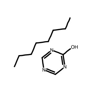 CCCCCCCC.Oc1ncncn1